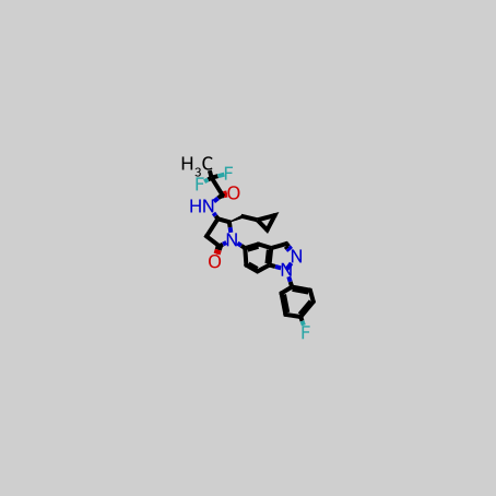 CC(F)(F)C(=O)NC1CC(=O)N(c2ccc3c(cnn3-c3ccc(F)cc3)c2)[C@@H]1CC1CC1